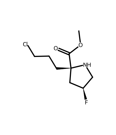 COC(=O)[C@@]1(CCCCl)C[C@H](F)CN1